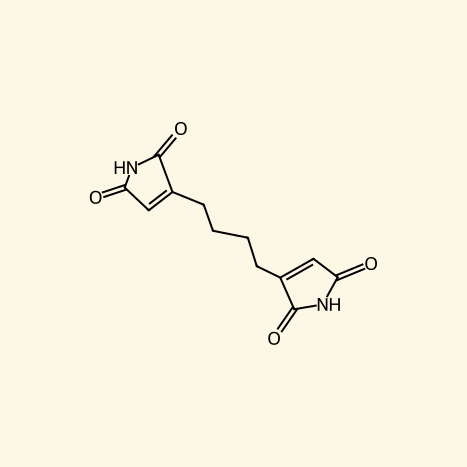 O=C1C=C(CCCCC2=CC(=O)NC2=O)C(=O)N1